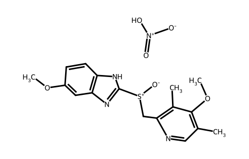 COc1ccc2[nH]c([S+]([O-])Cc3ncc(C)c(OC)c3C)nc2c1.O=[N+]([O-])O